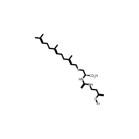 C=C(NCCC(=C)OCC)N[C@@H](CSC/C=C(\C)CC/C=C(\C)CCC=C(C)C)C(=O)O